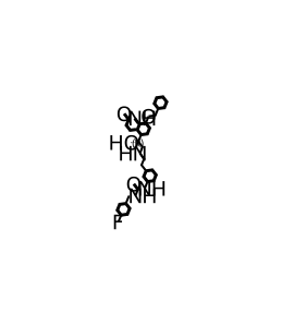 O=C(NCc1ccc(F)cc1)Nc1cccc(CCNC[C@H](O)c2ccc(OCc3ccccc3)c3[nH]c(=O)ccc23)c1